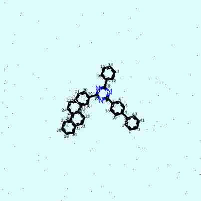 c1ccc(-c2ccc(-c3nc(-c4ccccc4)nc(-c4ccc5ccc6c7ccccc7ccc6c5c4)n3)cc2)cc1